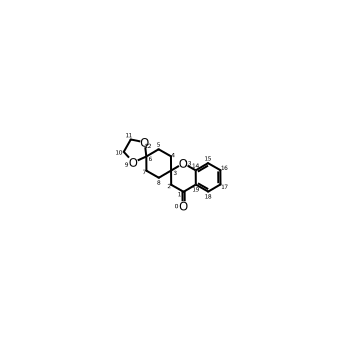 O=C1CC2(CCC3(CC2)OCCO3)Oc2ccccc21